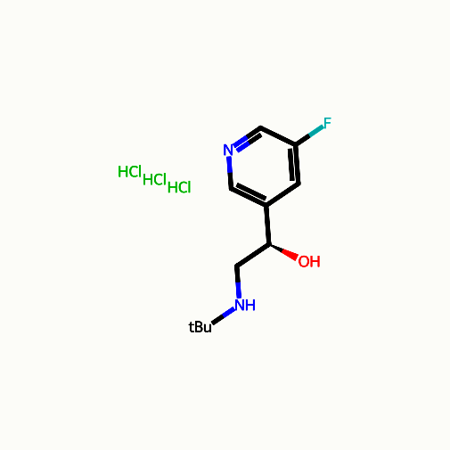 CC(C)(C)NC[C@H](O)c1cncc(F)c1.Cl.Cl.Cl